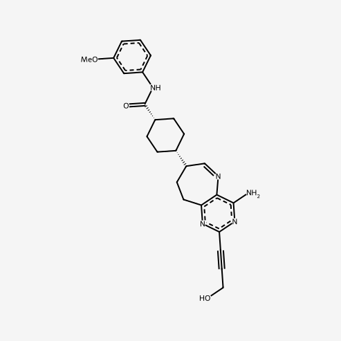 COc1cccc(NC(=O)[C@H]2CC[C@@H](C3C=Nc4c(N)nc(C#CCO)nc4CC3)CC2)c1